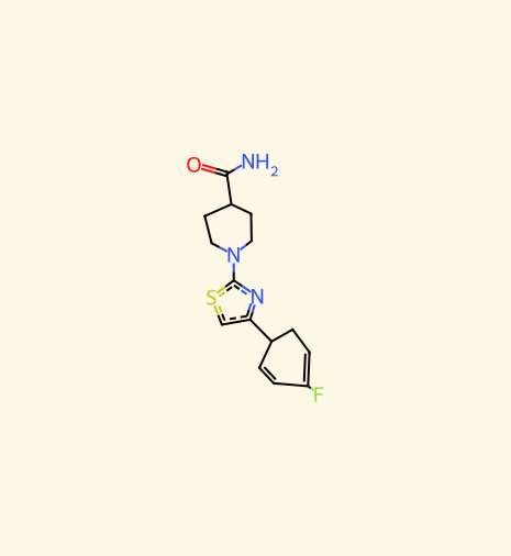 NC(=O)C1CCN(c2nc(C3C=CC(F)=CC3)cs2)CC1